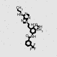 CCCNc1ncnc2c1ncn2C=Cc1cc(NC(=O)c2cccc(C(F)(F)F)c2)ccc1C.CNC